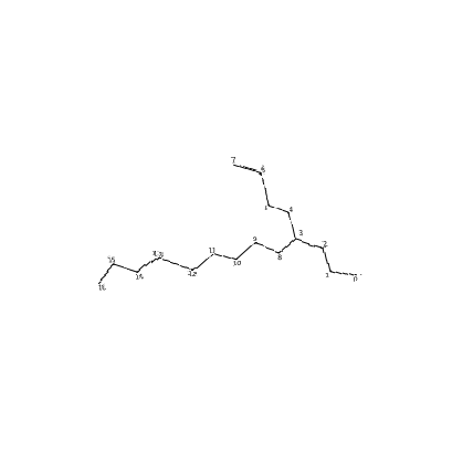 [CH2]CCC(CCCC)CCCCCCCCC